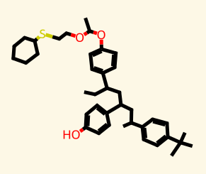 CCC(CC(CC(C)c1ccc(C(C)(C)C)cc1)c1ccc(O)cc1)c1ccc(OC(C)OCCSC2CCCCC2)cc1